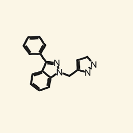 C1=C(Cn2nc(-c3ccccc3)c3ccccc32)N=NC1